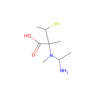 CC(N)N(C)C(C)(C(=O)O)C(C)S